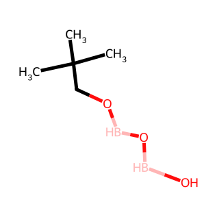 CC(C)(C)COBOBO